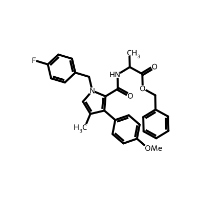 COc1ccc(-c2c(C)cn(Cc3ccc(F)cc3)c2C(=O)NC(C)C(=O)OCc2ccccc2)cc1